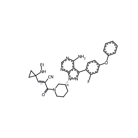 CCNC1(/C=C(\C#N)C(=O)N2CCC[C@@H](n3nc(-c4ccc(Oc5ccccc5)cc4F)c4c(N)ncnc43)C2)CC1